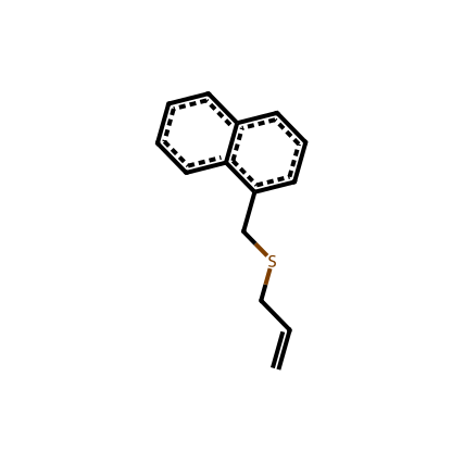 C=CCSCc1cccc2ccccc12